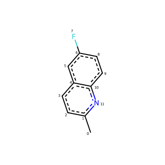 Cc1ccc2cc(F)ccc2n1